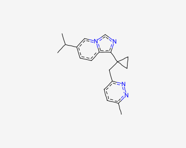 Cc1ccc(CC2(c3ncn4cc(C(C)C)ccc34)CC2)nn1